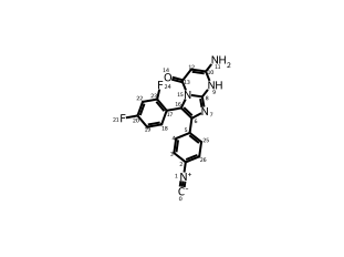 [C-]#[N+]c1ccc(-c2nc3[nH]c(N)cc(=O)n3c2-c2ccc(F)cc2F)cc1